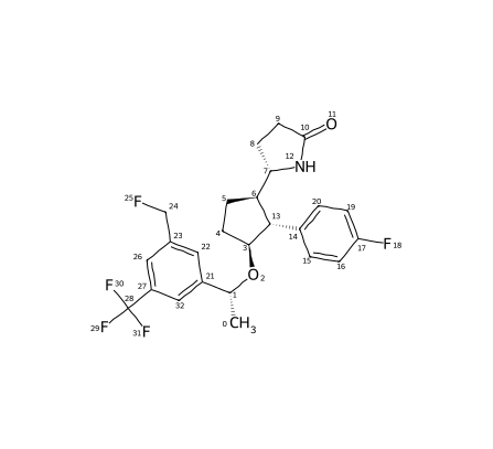 C[C@@H](O[C@H]1CC[C@@H]([C@@H]2CCC(=O)N2)[C@@H]1c1ccc(F)cc1)c1cc(CF)cc(C(F)(F)F)c1